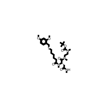 CNC(=O)C[C@@H](C(=O)N(C)CCN(C)C(=O)OC(C)(C)C)N(C)C(=O)CCCCCSCc1ccc(OC)cc1OC